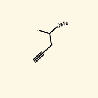 C#CCC([CH2])OC